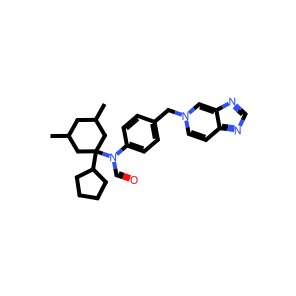 CC1CC(C)CC(C2CCCC2)(N(C=O)c2ccc(Cn3ccc4ncnc-4c3)cc2)C1